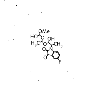 COC(O)OC(C)OC(O)C(C)N1C(=O)C(=O)c2cc(F)ccc21